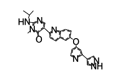 CC(C)Nc1ncc(-c2ccc3cc(Oc4ccnc(-c5cn[nH]c5)c4)ccc3n2)c(=O)n1C